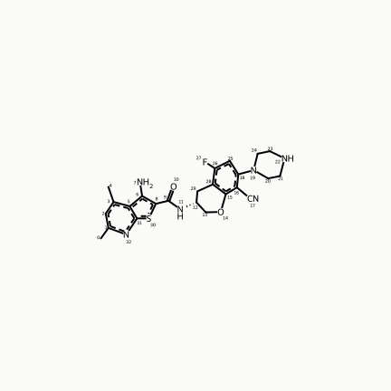 Cc1cc(C)c2c(N)c(C(=O)N[C@H]3COc4c(C#N)c(N5CCNCC5)cc(F)c4C3)sc2n1